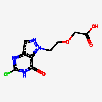 O=C(O)COCCn1ncc2nc(Cl)[nH]c(=O)c21